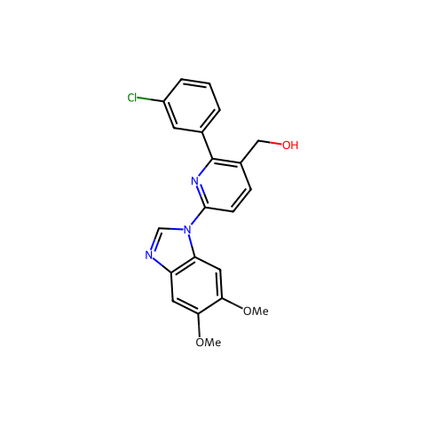 COc1cc2ncn(-c3ccc(CO)c(-c4cccc(Cl)c4)n3)c2cc1OC